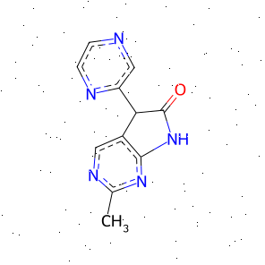 Cc1ncc2c(n1)NC(=O)C2c1cnccn1